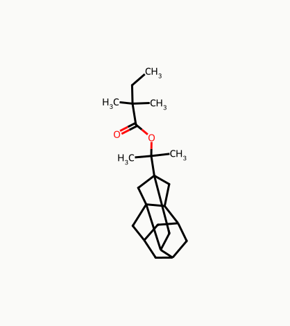 CCC(C)(C)C(=O)OC(C)(C)C12CC3C4CC5CC(C4)C(C1)C3(C5)C2